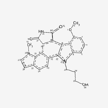 COc1cccc2c1c1c3c(c4c(ccc5ccn(C)c54)c1n2CCCO)C(=O)NC3=O